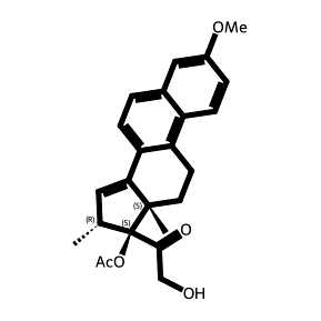 COc1ccc2c3c(ccc2c1)C1=C[C@@H](C)[C@@](OC(C)=O)(C(=O)CO)[C@@]1(C)CC3